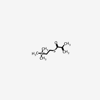 C=C(C)C(=O)SCC[N+](C)(C)C